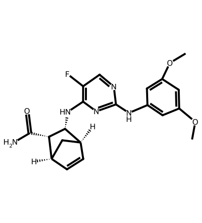 COc1cc(Nc2ncc(F)c(N[C@H]3[C@@H](C(N)=O)[C@@H]4C=C[C@H]3C4)n2)cc(OC)c1